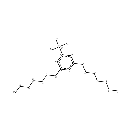 CCCCCCCc1cc(CCCCCCC)cc([Si](C)(C)C)c1